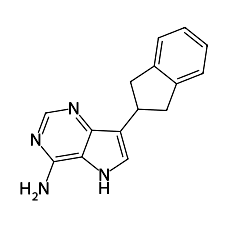 Nc1ncnc2c(C3Cc4ccccc4C3)c[nH]c12